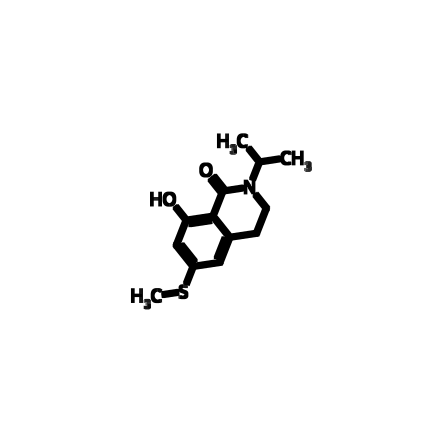 CSc1cc(O)c2c(c1)CCN(C(C)C)C2=O